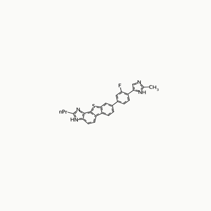 CCCc1nc2c(ccc3c4ccc(-c5ccc(-c6cnc(C)[nH]6)c(F)c5)cc4sc32)[nH]1